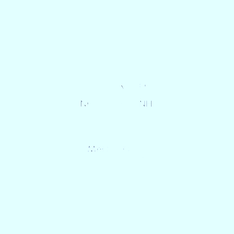 COc1ccc([C@H]2CNC(=O)[C@H](Cc3cccc(C#N)c3)C2)cc1OC1CCCC1